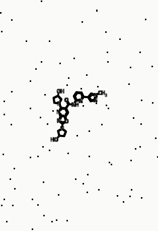 Cn1cc(-c2cccc(NC(=O)c3cc4oc(N5CC[C@@H](O)C5)nc4nc3N3CC[C@@H](O)C3)n2)cn1